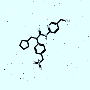 O=C(Nc1ccc(CO)cn1)C(CC1CCCC1)c1ccc(C[SH](=O)=O)cc1